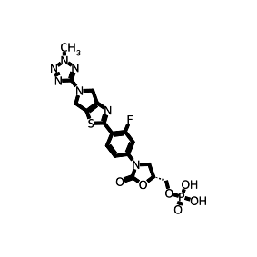 Cn1nnc(N2Cc3nc(-c4ccc(N5C[C@H](COP(=O)(O)O)OC5=O)cc4F)sc3C2)n1